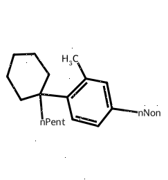 CCCCCCCCCc1ccc(C2(CCCCC)CCCCC2)c(C)c1